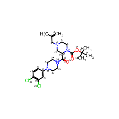 C=C(C)CN1CCN(C(=O)OC(C)(C)C)[C@@H](C(=O)N2CCN(c3ccc(Cl)c(Cl)c3)CC2)C1